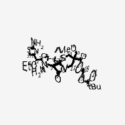 CCOC(C(=O)N(N)C1C(=O)N2CC(COC)(C(=O)OCOC(=O)C(C)(C)C)CS[C@H]12)c1csc(N)n1